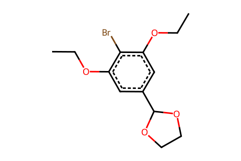 CCOc1cc(C2OCCO2)cc(OCC)c1Br